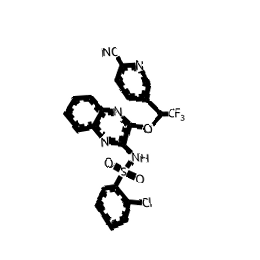 N#Cc1ccc(C(Oc2nc3ccccc3nc2NS(=O)(=O)c2ccccc2Cl)C(F)(F)F)cn1